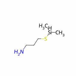 C[SiH](C)SCCCN